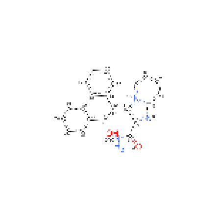 NC(=O)c1nc2ccccn2c1[C@@H](c1ccccc1)[C@H](O)c1ccccc1